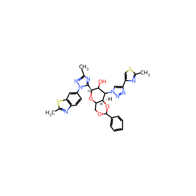 Cc1nc([C@@H]2OC3COC(c4ccccc4)O[C@@H]3C(n3cc(-c4csc(C)n4)nn3)C2O)n(-c2ccc3nc(C)sc3c2)n1